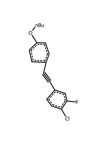 CCCCOc1ccc(C#Cc2ccc(Cl)c(F)c2)cc1